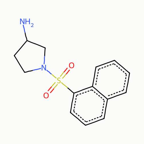 NC1CCN(S(=O)(=O)c2cccc3ccccc23)C1